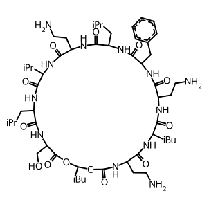 CCC(C)C1CC(=O)NC(CCN)C(=O)NC(C(C)CC)C(=O)NC(CCN)C(=O)NC(Cc2ccccc2)C(=O)NC(CC(C)C)C(=O)NC(CCN)C(=O)NC(C(C)C)C(=O)NC(CC(C)C)C(=O)NC(CO)C(=O)O1